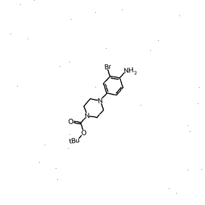 CC(C)(C)OC(=O)N1CCN(c2ccc(N)c(Br)c2)CC1